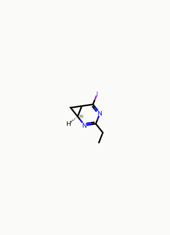 CCC1=N[C@H]2CC2C(I)=N1